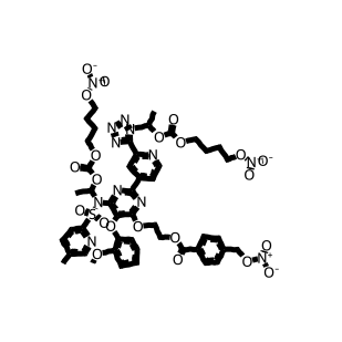 COc1ccccc1Oc1c(OCCOC(=O)c2ccc(CO[N+](=O)[O-])cc2)nc(-c2ccnc(-c3nnnn3C(C)OC(=O)OCCCCO[N+](=O)[O-])c2)nc1N(C(C)OC(=O)OCCCCO[N+](=O)[O-])S(=O)(=O)c1ccc(C)cn1